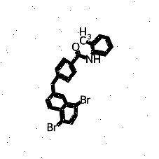 Cc1ccccc1NC(=O)c1ccc(Cc2ccc3c(Br)ccc(Br)c3c2)cc1